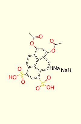 CC(=O)Oc1cc(OC(C)=O)c2ccc3c(S(=O)(=O)O)cc(S(=O)(=O)O)c4ccc1c2c43.[NaH].[NaH]